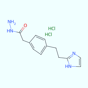 Cl.Cl.NNC(=O)Cc1ccc(CCc2ncc[nH]2)cc1